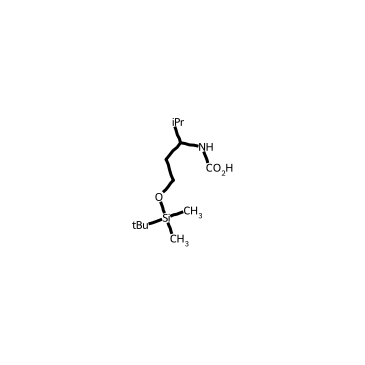 CC(C)C(CCO[Si](C)(C)C(C)(C)C)NC(=O)O